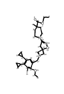 CCOC(=O)C1(C)CCN(C2=NOC3(C2)CN(Cc2cc(C4CC4)c(C4CC4)c(F)c2OCC)C3)CC1